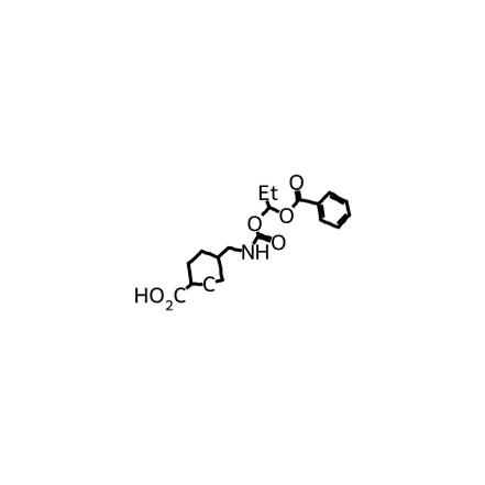 CCC(OC(=O)NCC1CCC(C(=O)O)CC1)OC(=O)c1ccccc1